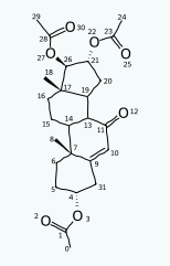 CC(=O)O[C@@H]1CC[C@@]2(C)C(=CC(=O)C3C2CC[C@@]2(C)C3C[C@@H](OC(C)=O)[C@@H]2OC(C)=O)C1